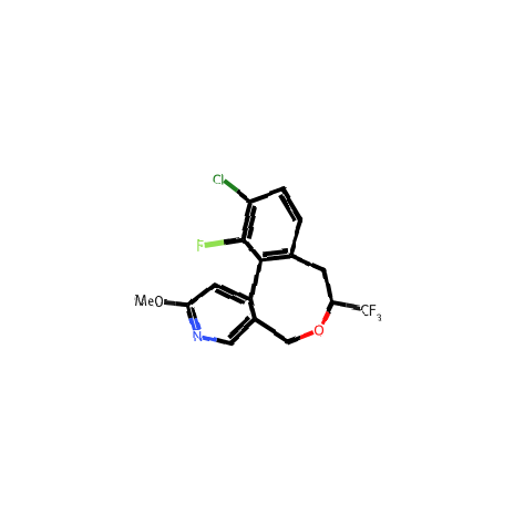 COc1cc2c(cn1)COC(C(F)(F)F)Cc1ccc(Cl)c(F)c1-2